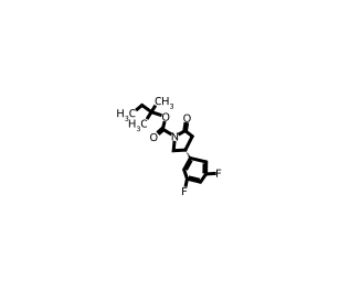 CCC(C)(C)OC(=O)N1C[C@@H](c2cc(F)cc(F)c2)CC1=O